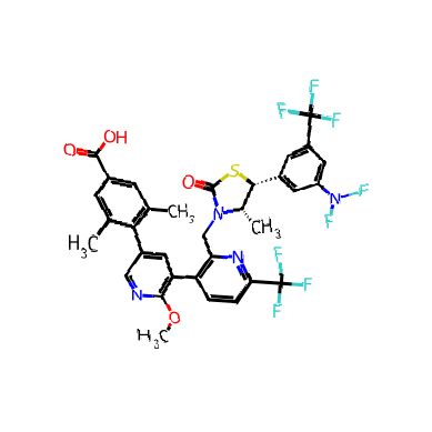 COc1ncc(-c2c(C)cc(C(=O)O)cc2C)cc1-c1ccc(C(F)(F)F)nc1CN1C(=O)S[C@H](c2cc(N(F)F)cc(C(F)(F)F)c2)[C@@H]1C